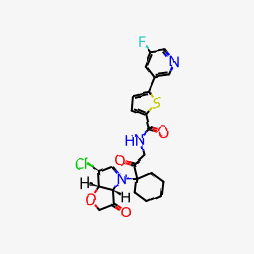 O=C(NCC(=O)C1(N2C[C@H](Cl)[C@H]3OCC(=O)[C@H]32)CCCCC1)c1ccc(-c2cncc(F)c2)s1